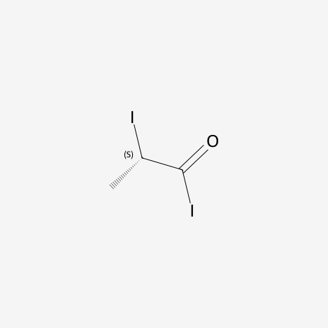 C[C@H](I)C(=O)I